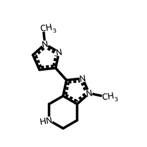 Cn1ccc(-c2nn(C)c3c2CNCC3)n1